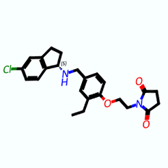 CCc1cc(CN[C@H]2CCc3cc(Cl)ccc32)ccc1OCCN1C(=O)CCC1=O